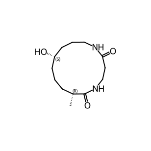 C[C@@H]1CCC[C@H](O)CCCNC(=O)CCNC1=O